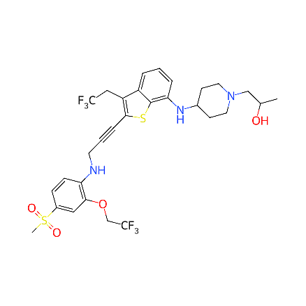 CC(O)CN1CCC(Nc2cccc3c(CC(F)(F)F)c(C#CCNc4ccc(S(C)(=O)=O)cc4OCC(F)(F)F)sc23)CC1